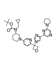 CC(C)(C)OC(=O)N(CC1CC1)[C@@H]1CCCN(c2ccc(C3(n4cnc(-c5cncc(N6CCCC6)n5)c4)COC3)nc2)C1